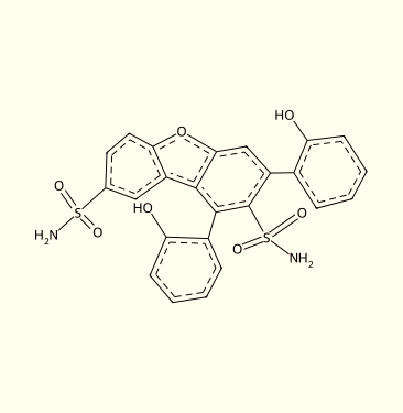 NS(=O)(=O)c1ccc2oc3cc(-c4ccccc4O)c(S(N)(=O)=O)c(-c4ccccc4O)c3c2c1